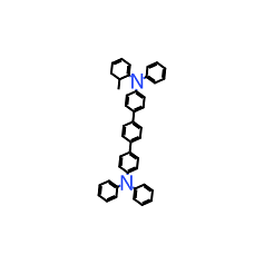 CC1CC=CC=C1N(c1ccccc1)c1ccc(-c2ccc(-c3ccc(N(c4ccccc4)c4ccccc4)cc3)cc2)cc1